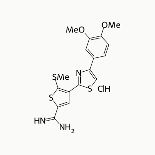 COc1ccc(-c2csc(-c3cc(C(=N)N)sc3SC)n2)cc1OC.Cl